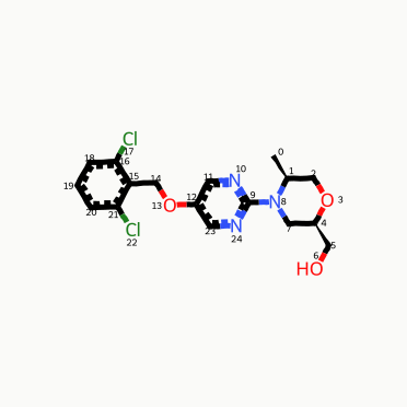 C[C@H]1CO[C@@H](CO)CN1c1ncc(OCc2c(Cl)cccc2Cl)cn1